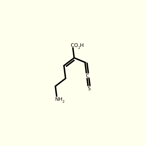 NCCC=C(C=C=S)C(=O)O